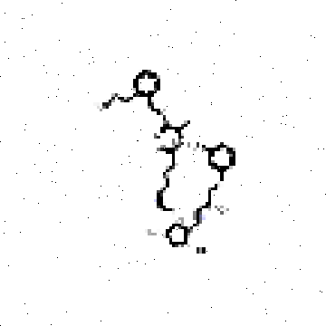 CC(NC(=O)CCC/C=C\C[C@@H]1[C@@H](/C=C/[C@@H](O)COc2cccc(C(F)(F)F)c2)[C@H](O)C[C@@H]1O)C(=O)OCc1ccccc1CO[N+](=O)[O-]